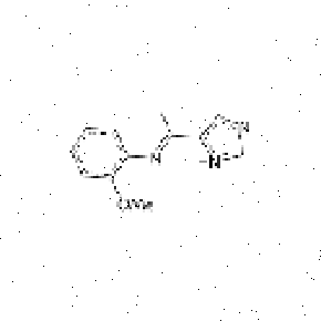 COc1ccccc1/N=C(\C)c1cnc[nH]1